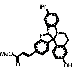 COC(=O)C=Cc1ccc(C2(C(F)F)c3ccc(O)cc3CCN2c2ccc(C(C)C)cc2)cc1